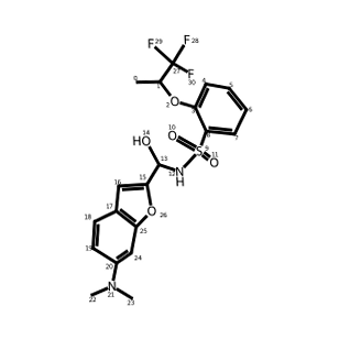 CC(Oc1ccccc1S(=O)(=O)NC(O)c1cc2ccc(N(C)C)cc2o1)C(F)(F)F